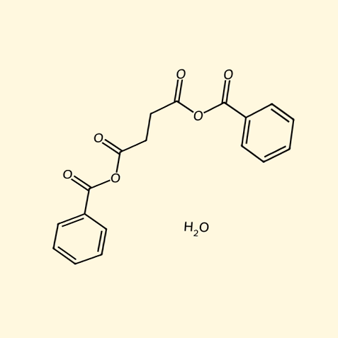 O.O=C(CCC(=O)OC(=O)c1ccccc1)OC(=O)c1ccccc1